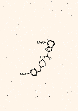 COc1ccc(CN2CCC(NC(=O)c3cc4cccc(OC)c4o3)CC2)cc1